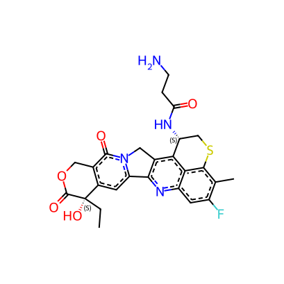 CC[C@@]1(O)C(=O)OCc2c1cc1n(c2=O)Cc2c-1nc1cc(F)c(C)c3c1c2[C@H](NC(=O)CCN)CS3